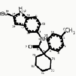 Cc1ccc(C2(C(=O)Nc3ccc4[nH]c(C(C)(C)C)cc4c3)CCCCC2)cc1